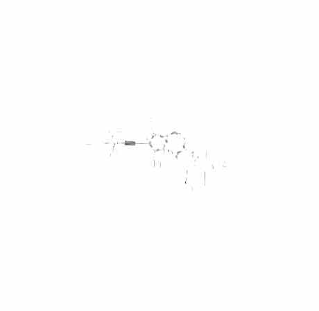 CC(=O)O[C@@H]1COCC[C@H]1Nc1ncc2c(F)c(C#C[Si](C)(C)C)c(C(C)C)n2n1